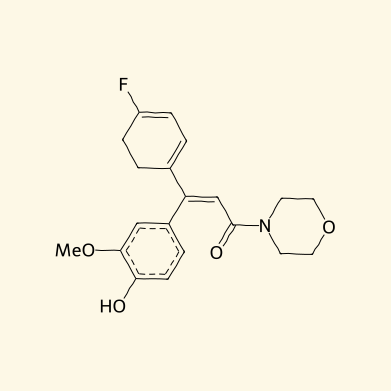 COc1cc(/C(=C\C(=O)N2CCOCC2)C2=CC=C(F)CC2)ccc1O